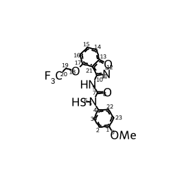 COc1ccc(N(S)C(=O)Nc2noc3cccc(OCC(F)(F)F)c23)cc1